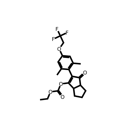 CCOC(=O)OC1=C(c2c(C)cc(OCC(F)(F)F)cc2C)C(=O)C2CCCC12